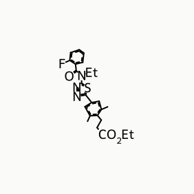 CCOC(=O)CCc1c(C)cc(-c2nnc(N(CC)C(=O)c3ccccc3F)s2)cc1C